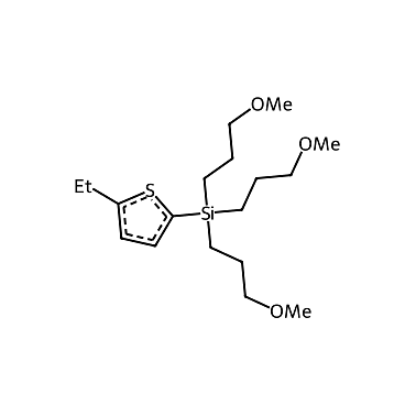 CCc1ccc([Si](CCCOC)(CCCOC)CCCOC)s1